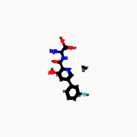 NC(NC(=O)c1ncc(-c2cccc(F)c2)cc1O)C(=O)[O-].[Na+]